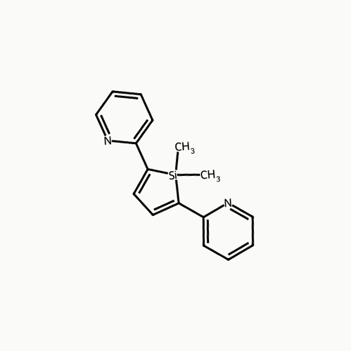 C[Si]1(C)C(c2ccccn2)=CC=C1c1ccccn1